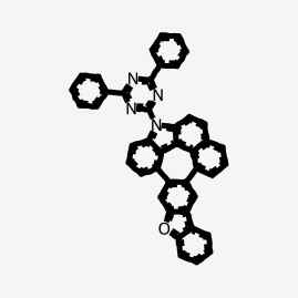 c1ccc(-c2nc(-c3ccccc3)nc(-n3c4cccc5c4c4c6c(cccc6ccc43)-c3cc4c(cc3-5)oc3ccccc34)n2)cc1